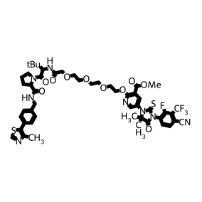 COC(=O)c1cc(N2C(=S)N(c3ccc(C#N)c(C(F)(F)F)c3F)C(=O)C2(C)C)cnc1OCCOCCOCCOCC(=O)NC(C(=O)N1CCCC1C(=O)NCc1ccc(-c2scnc2C)cc1)C(C)(C)C